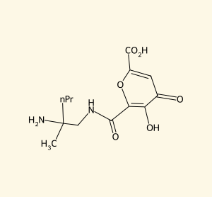 CCCC(C)(N)CNC(=O)c1oc(C(=O)O)cc(=O)c1O